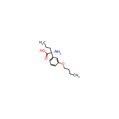 CCCCOc1cccc([C@](N)(CCC)C(=O)O)c1